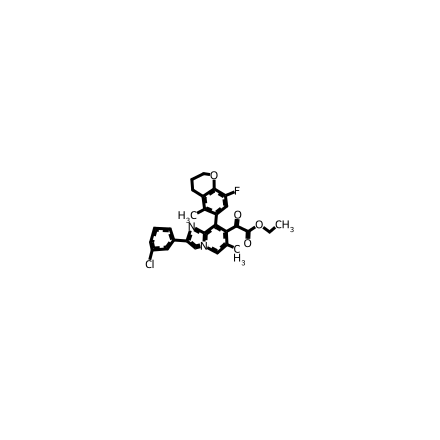 CCOC(=O)C(=O)c1c(C)cn2cc(-c3cccc(Cl)c3)nc2c1-c1cc(F)c2c(c1C)CCCO2